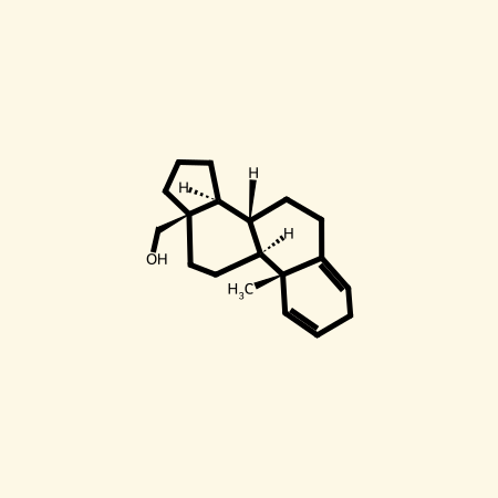 C[C@]12C=CCC=C1CC[C@H]1[C@@H]3CCC[C@@]3(CO)CC[C@@H]12